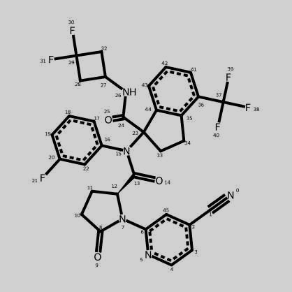 N#Cc1ccnc(N2C(=O)CC[C@H]2C(=O)N(c2cccc(F)c2)C2(C(=O)NC3CC(F)(F)C3)CCc3c(C(F)(F)F)cccc32)c1